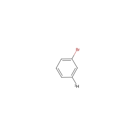 [2H]c1cccc(Br)c1